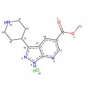 COC(=O)c1cnc2[nH]nc(C3CCNCC3)c2c1.Cl